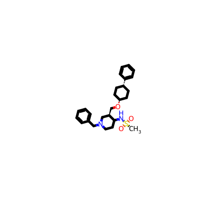 CS(=O)(=O)NC1CCN(Cc2ccccc2)C[C@H]1CO[C@H]1CC[C@@H](c2ccccc2)CC1